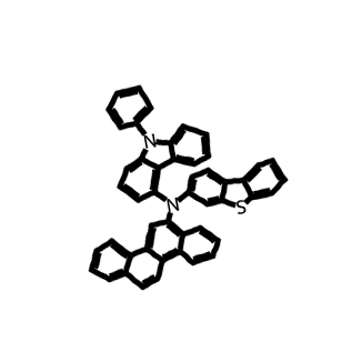 c1ccc(-n2c3ccccc3c3c(N(c4ccc5c(c4)sc4ccccc45)c4cc5c6ccccc6ccc5c5ccccc45)cccc32)cc1